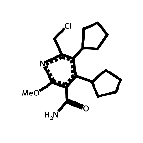 COc1nc(CCl)c(C2CCCC2)c(C2CCCC2)c1C(N)=O